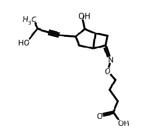 CC(O)C#CC1CC2C(=NOCCCC(=O)O)CC2C1O